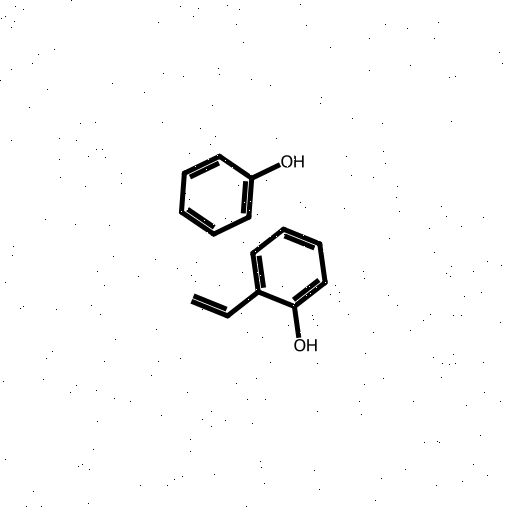 C=Cc1ccccc1O.Oc1ccccc1